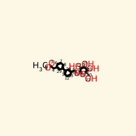 COC(=O)Cc1cccc(-c2cccc(CO[C@H]3O[C@H](CO)[C@@H](O)[C@H](O)[C@@H]3O)c2)c1